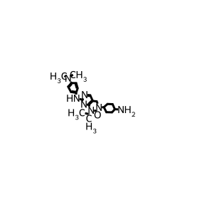 CC(C)N1C(=O)N(C2CCC(N)CC2)Cc2cnc(Nc3ccc(N(C)C)cc3)nc21